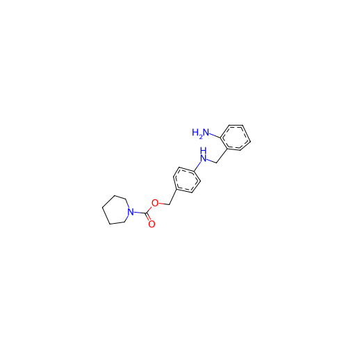 Nc1ccccc1CNc1ccc(COC(=O)N2CCCCC2)cc1